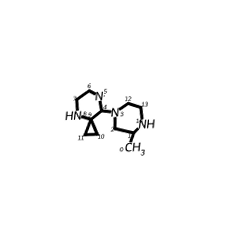 CC1CN(C2[N]CCNC23CC3)CCN1